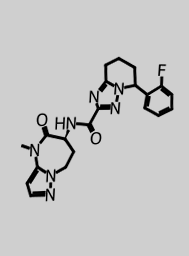 CN1C(=O)[C@@H](NC(=O)c2nc3n(n2)C(c2ccccc2F)CCC3)CCn2nccc21